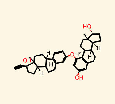 C#C[C@]1(O)CC[C@H]2[C@@H]3CCc4cc(Oc5cc(O)cc6c5[C@H]5CC[C@]7(C)[C@H](O)CC[C@H]7[C@@H]5CC6)ccc4[C@H]3CCC21C